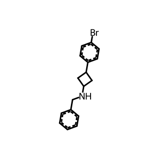 Brc1ccc(C2CC(NCc3ccccc3)C2)cc1